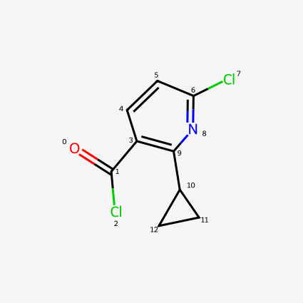 O=C(Cl)c1ccc(Cl)nc1C1CC1